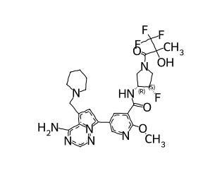 COc1ncc(-c2cc(CN3CCCCC3)c3c(N)ncnn23)cc1C(=O)N[C@@H]1CN(C(=O)C(C)(O)C(F)(F)F)C[C@@H]1F